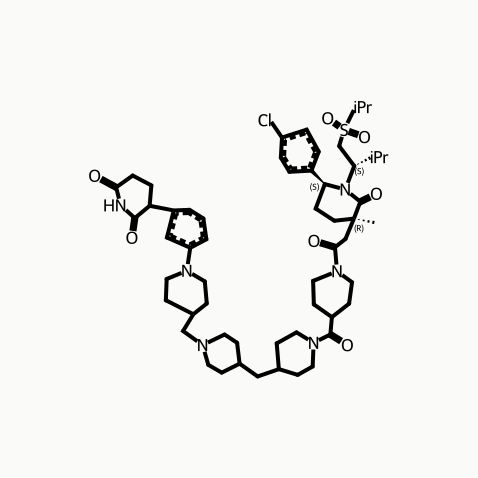 CC(C)[C@@H](CS(=O)(=O)C(C)C)N1C(=O)[C@@](C)(CC(=O)N2CCC(C(=O)N3CCC(CC4CCN(CC5CCN(c6cccc(C7CCC(=O)NC7=O)c6)CC5)CC4)CC3)CC2)CC[C@H]1c1ccc(Cl)cc1